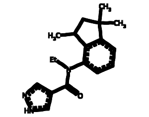 CCN(C(=O)c1cn[nH]c1)c1cccc2c1C(C)CC2(C)C